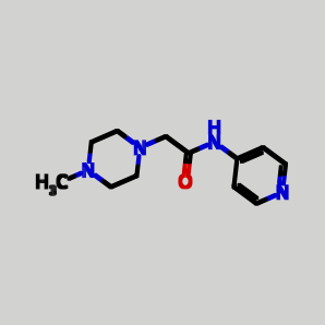 CN1CCN(CC(=O)Nc2ccncc2)CC1